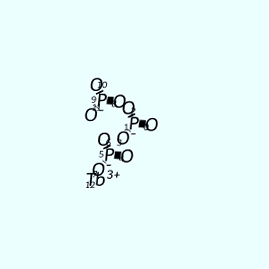 O=P(=O)[O-].O=P(=O)[O-].O=P(=O)[O-].[Tb+3]